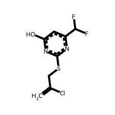 C=C(Cl)CSc1nc(O)cc(C(F)F)n1